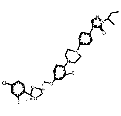 CCC(C)n1ncn(-c2ccc(N3CCN(c4ccc(OC[C@@H]5CO[C@@](C)(c6ccc(Cl)cc6Cl)O5)cc4Cl)CC3)cc2)c1=O